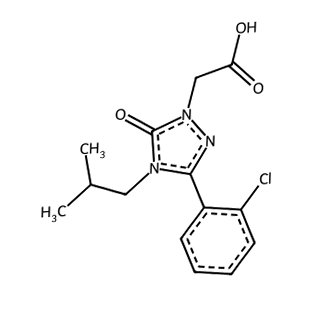 CC(C)Cn1c(-c2ccccc2Cl)nn(CC(=O)O)c1=O